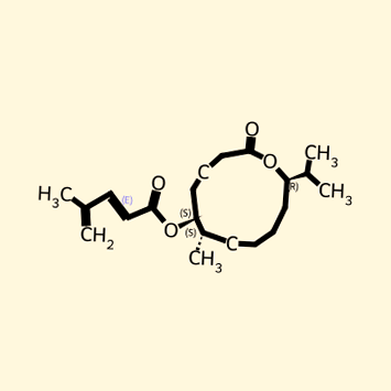 C=C(C)/C=C/C(=O)O[C@H]1CCCC(=O)O[C@@H](C(C)C)CCCC[C@@H]1C